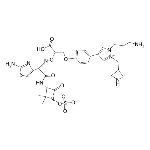 CC1(C)[C@H](NC(=O)/C(=N\OC(COc2ccc(-c3cn(CCCN)[n+](CC4CNC4)c3)cc2)C(=O)O)c2csc(N)n2)C(=O)N1OS(=O)(=O)[O-]